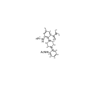 CCCNc1cc(C)cc(C(=O)N(C)C)c1N1CCN(c2ccccc2NC(C)=O)CC1